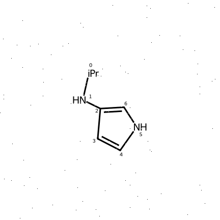 CC(C)Nc1cc[nH]c1